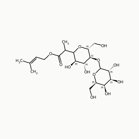 CC(C)=CCOC(=O)C(C)C1O[C@H](CO)[C@@H](OC2O[C@H](CO)[C@H](O)[C@H](O)[C@H]2O)[C@H](O)[C@H]1O